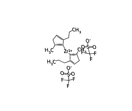 CCCC1=CCC(C)=[C]1[Zr+2][C]1=C(C)CC=C1CCC.O=S(=O)([O-])C(F)(F)F.O=S(=O)([O-])C(F)(F)F